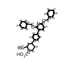 CC(C)(C)C1CC(c2ccc(-c3ccc(OCc4ccccc4)nc3OCc3ccccc3)cc2)CCN1C(=O)O